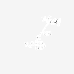 CC(C)(CO)CCCCCC(O)CCCCCC(C)(C)CN=O